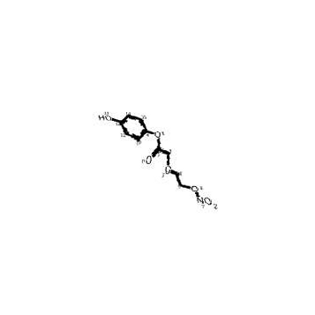 O=C(COCCO[N+](=O)[O-])Oc1ccc(O)cc1